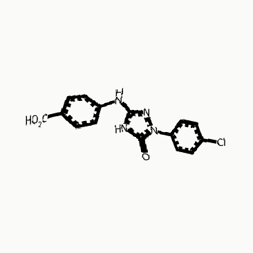 O=C(O)c1ccc(Nc2nn(-c3ccc(Cl)cc3)c(=O)[nH]2)cc1